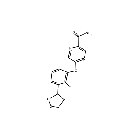 NC(=O)c1cnc(Oc2cccc(C3CCOO3)c2F)cn1